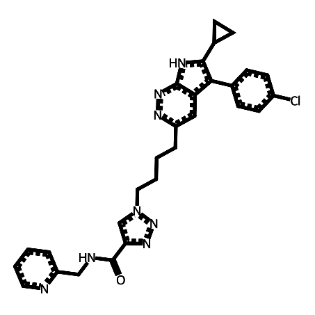 O=C(NCc1ccccn1)c1cn(CCCCc2cc3c(-c4ccc(Cl)cc4)c(C4CC4)[nH]c3nn2)nn1